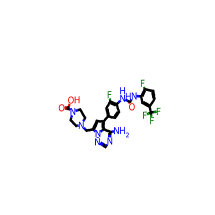 Nc1ncnn2c(CN3CCN(C(=O)O)CC3)cc(-c3ccc(NC(=O)Nc4cc(C(F)(F)F)ccc4F)c(F)c3)c12